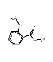 COC(=O)c1ccccc1[O][AlH2]